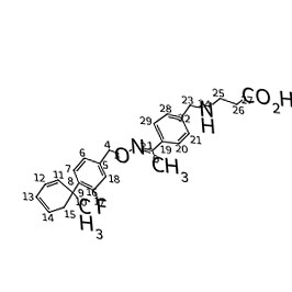 C/C(=N\OCc1ccc(C2(C)C=CC=CC2)c(F)c1)c1ccc(CNCCC(=O)O)cc1